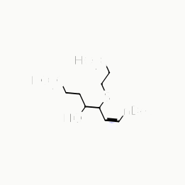 CCCCCCCCCC/C=C\C(SCCC(=O)O)C(O)CCC(=O)O